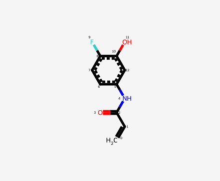 C=CC(=O)Nc1ccc(F)c(O)c1